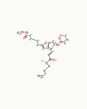 CCCCC(F)C(=O)C=C[C@@H]1c2cc(CCCCC(=O)OC)oc2C[C@H]1OC1CCCCO1